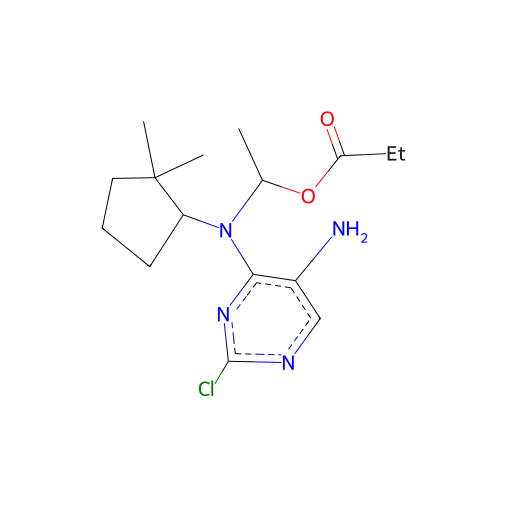 CCC(=O)OC(C)N(c1nc(Cl)ncc1N)C1CCCC1(C)C